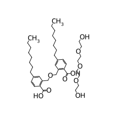 CCCCCCCCc1ccc(C(=O)O)c(COCc2cc(CCCCCCCC)ccc2C(=O)O)c1.OCCOCCOCCOCCO